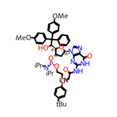 COc1ccc(C(c2ccccc2)(c2ccc(OC)cc2)C(O)[C@H]2O[C@@H](n3cnc4c(=O)[nH]c(NC(=O)COc5ccc(C(C)(C)C)cc5)nc43)C[C@@H]2OP(OCCC#N)N(C(C)C)C(C)C)cc1